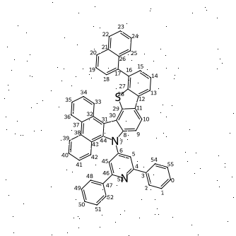 c1ccc(-c2cc(-n3c4ccc5c6cccc(-c7cccc8ccccc78)c6sc5c4c4c5ccccc5c5ccccc5c43)cc(-c3ccccc3)n2)cc1